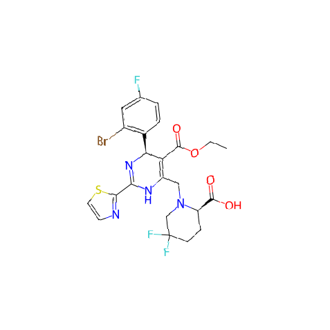 CCOC(=O)C1=C(CN2CC(F)(F)CC[C@@H]2C(=O)O)NC(c2nccs2)=N[C@H]1c1ccc(F)cc1Br